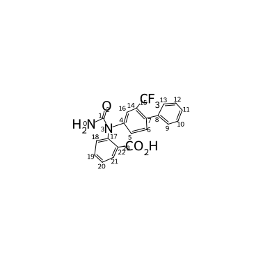 NC(=O)N(c1ccc(-c2ccccc2)c(C(F)(F)F)c1)c1ccccc1C(=O)O